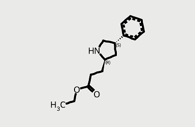 CCOC(=O)CC[C@@H]1C[C@@H](c2ccccc2)CN1